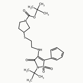 CC(C)(C)OC(=O)N1CCC(SCCNC2=C(c3ccccc3)S(=O)(=O)N(C(C)(C)C)C2=O)C1